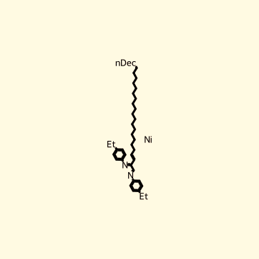 CCCCCCCCCCCCCCCCCCCCCCCCCCCC=CC(C=Nc1ccc(CC)cc1)=Nc1ccc(CC)cc1.[Ni]